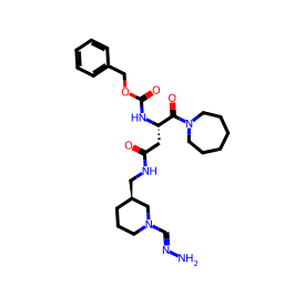 NN=CN1CCC[C@@H](CNC(=O)C[C@H](NC(=O)OCc2ccccc2)C(=O)N2CCCCCC2)C1